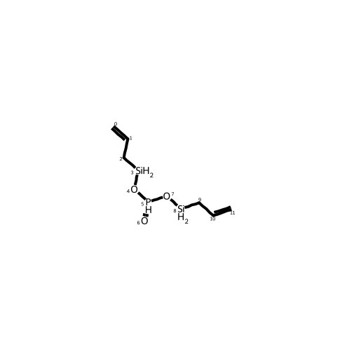 C=CC[SiH2]O[PH](=O)O[SiH2]CC=C